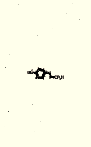 CC(C)(C)c1ccc(CCC(=O)O)cn1